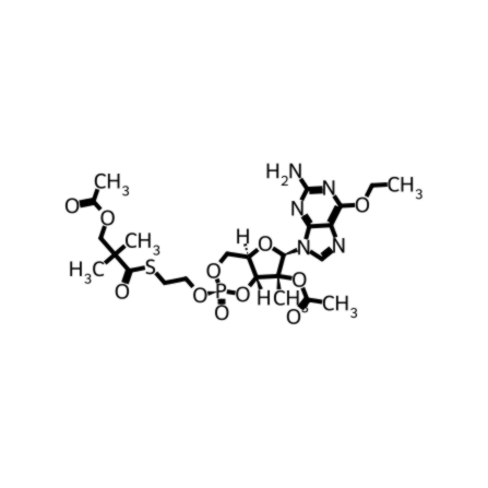 CCOc1nc(N)nc2c1ncn2[C@@H]1O[C@@H]2CO[P@](=O)(OCCSC(=O)C(C)(C)COC(C)=O)O[C@H]2[C@@]1(C)OC(C)=O